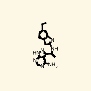 C=C(NC1=Nc2cc(CC)ccc2C1)c1n[nH]c2ncnc(N)c12